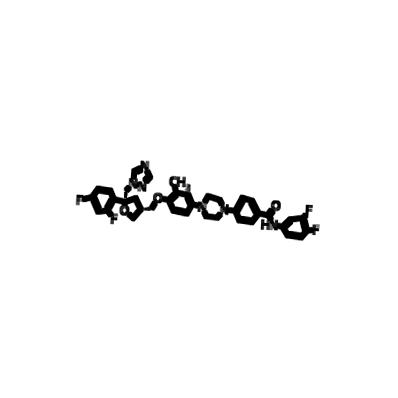 Cc1cc(N2CCN(c3ccc(C(=O)Nc4ccc(F)c(F)c4)cc3)CC2)ccc1OC[C@@H]1CO[C@@](Cn2cncn2)(c2ccc(F)cc2F)C1